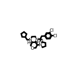 O=C(Cc1ccc(Cl)c(Cl)c1)N1CCN(CC2CCCC2)[C@@H]2COCC(N3CCCC3)[C@H]21